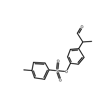 Cc1ccc(S(=O)(=O)Oc2ccc(C(C)C=O)cc2)cc1